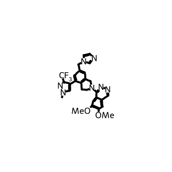 COc1cc2cnnc(N3CCc4c(cc(Cn5ccnc5)cc4-c4cn(C)nc4C(F)(F)F)C3)c2cc1OC